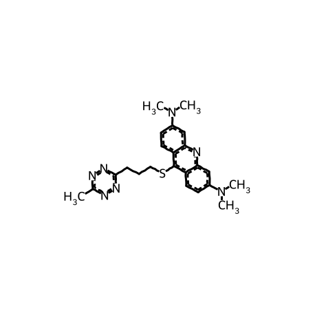 Cc1nnc(CCCSc2c3ccc(N(C)C)cc3nc3cc(N(C)C)ccc23)nn1